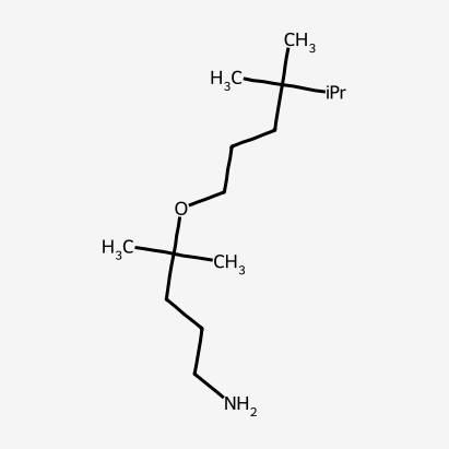 CC(C)C(C)(C)CCCOC(C)(C)CCCN